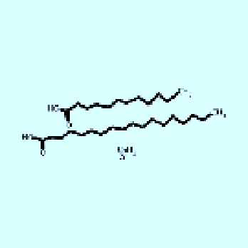 CCCCCCCCCCCC(=O)O.CCCCCCCCCCCCCCCCCC(=O)O.[CaH2].[Zn]